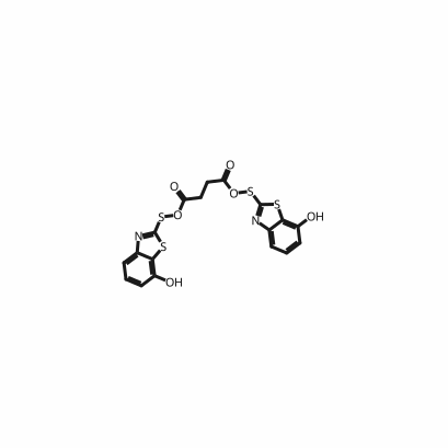 O=C(CCC(=O)OSc1nc2cccc(O)c2s1)OSc1nc2cccc(O)c2s1